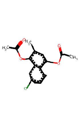 CC(=O)Oc1cc(C)c(OC(C)=O)c2cc(Cl)ccc12